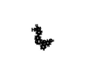 COc1ccc(C2CCCCN2C(=O)N2CCOc3ccc(-c4ccc5nc(C)[nH]c5c4)cc3C2)cc1